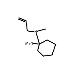 C=CCN(C)C1(NC)CCCCC1